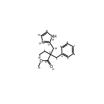 CCC(Cc1ccccc1)(Cc1ncc[nH]1)C(=O)OC